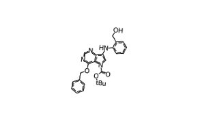 CC(C)(C)OC(=O)n1cc(Nc2ccccc2CO)c2ncnc(OCc3ccccc3)c21